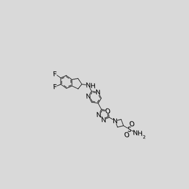 NS(=O)(=O)C1CN(c2nnc(-c3cnc(NC4Cc5cc(F)c(F)cc5C4)nc3)o2)C1